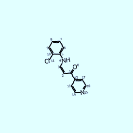 O=C(/C=C\Nc1ccccc1Cl)c1ccncc1